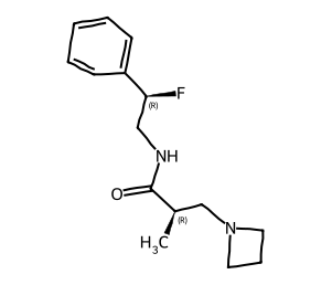 C[C@H](CN1CCC1)C(=O)NC[C@H](F)c1ccccc1